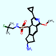 COc1nc(C2CC2)cc2c(S(=O)(=O)NCC(C)(C)F)c3c(cc12)CC(N)C3